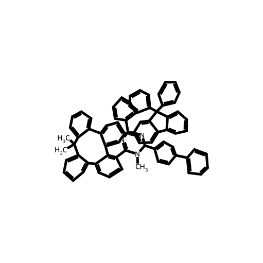 CN1C(c2cccc3c2-c2cc(-c4ccc5c(c4)C(c4ccccc4)(c4ccccc4)c4ccccc4-5)ccc2-c2ccccc2C(C)(C)c2ccccc2-3)=NC(c2ccccc2)=NC1c1ccc(-c2ccccc2)cc1